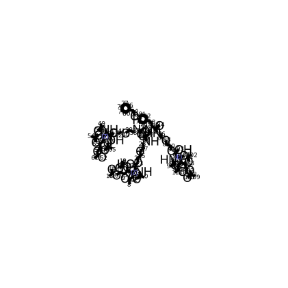 CC(=O)N/C(=C(\OC(C)=O)C(CCOC(C)=O)OC(C)=O)C(O)OCCOCCNC(=O)CN(CC(=O)NCCOCCOC(O)/C(NC(C)=O)=C(/OC(C)=O)C(CCOC(C)=O)OC(C)=O)C(Cc1ccc(OCc2ccccc2)cc1)C(=O)NCCOCCOC(O)/C(NC(C)=O)=C(\OC(C)=O)C(CCOC(C)=O)OC(C)=O